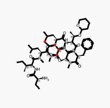 CC[C@H](N)C(=O)N[C@H](C(=O)N(C)[C@@H](CC(C)C)C(=O)N(C)[C@@H](C)C(=O)N(C)[C@@H](CC(C)C)C(=O)N[C@H](C(=O)N(C)[C@@H](Cc1ccccc1)C(=O)N(C)[C@@H](C)C(=O)N(C)[C@@H](CC(C)C)C(=O)O)[C@@H](C)OC1CCCCO1)[C@@H](C)CC